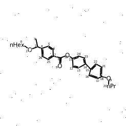 CCCCCCOC(C)c1ccc(C(=O)Oc2ccc(-c3ccc(OCCC)cc3)cc2)cc1